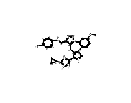 COc1ccc2c(c1)-n1nnc(COc3ccc(F)cc3)c1Cc1c(-c3noc(C4CC4)n3)ncn1-2